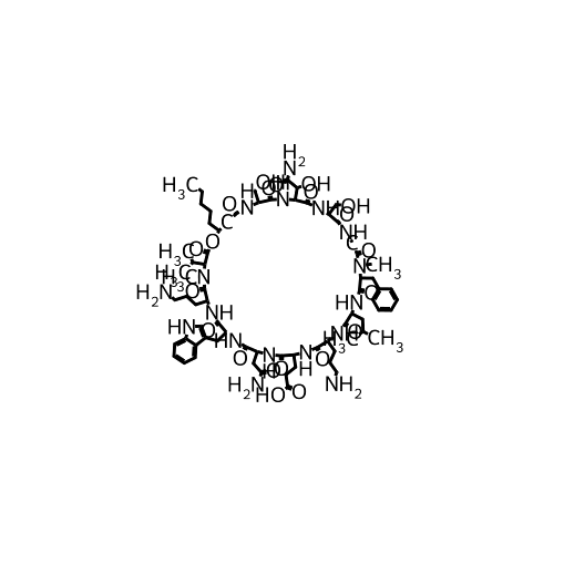 CCCCCC1CC(=O)NC(CO)C(=O)NC(C(O)C(N)=O)C(=O)NC(CO)C(=O)NCC(=O)N(C)C(Cc2ccccc2)C(=O)NC(CC(C)C)C(=O)NC(CCCN)C(=O)NC(CCC(=O)O)C(=O)NC(CC(N)=O)C(=O)NC(Cc2c[nH]c3ccccc23)C(=O)NC(CCCN)C(=O)N(C)C(C(C)C)C(=O)O1